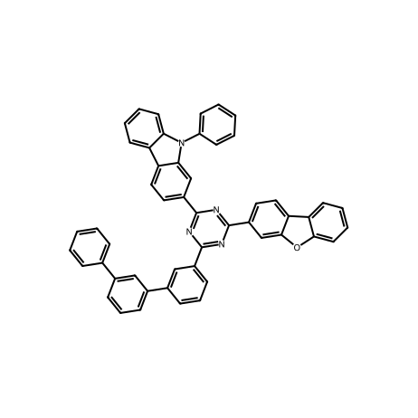 c1ccc(-c2cccc(-c3cccc(-c4nc(-c5ccc6c(c5)oc5ccccc56)nc(-c5ccc6c7ccccc7n(-c7ccccc7)c6c5)n4)c3)c2)cc1